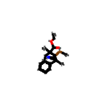 CCOC(=O)C1(C)CC2(C)C(SC)=NC1c1ccccc12